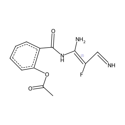 CC(=O)Oc1ccccc1C(=O)N/C(N)=C(\F)C=N